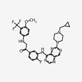 COc1ccc(NCC(=O)c2ccc(F)c(Nc3ncnc4cnc(N5CCN(CC6CC6)CC5)nc34)c2)cc1C(F)(F)F